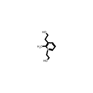 Cc1c(CCO)ccc[n+]1CCO